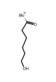 CC[C@@H](C)C(=O)CCCCCO